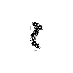 O=C1Cc2cc(C(=O)C[N+]34CCC(CC3)[C@@H](OC(=O)[C@H](Nc3ccccc3)c3ccccc3)C4)ccc2N1